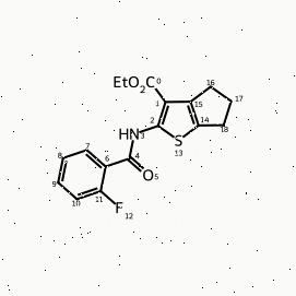 CCOC(=O)c1c(NC(=O)c2ccccc2F)sc2c1CCC2